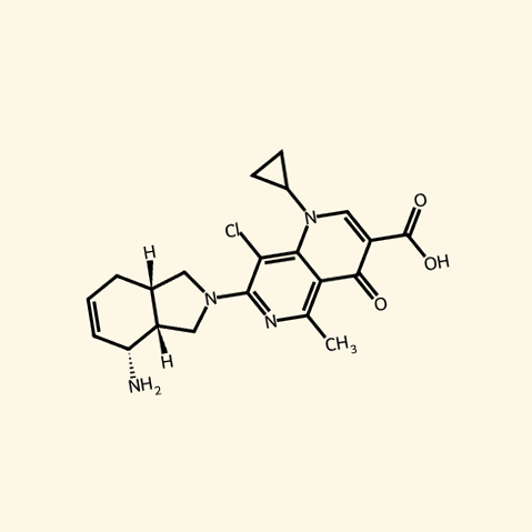 Cc1nc(N2C[C@H]3CC=C[C@@H](N)[C@H]3C2)c(Cl)c2c1c(=O)c(C(=O)O)cn2C1CC1